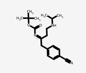 CC(C)NCC/C(Cc1ccc(C#N)cc1)=N\C(=O)OC(C)(C)C